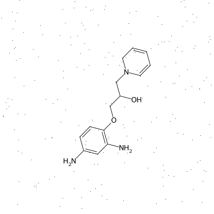 Nc1ccc(OCC(O)CN2C=CC=CC2)c(N)c1